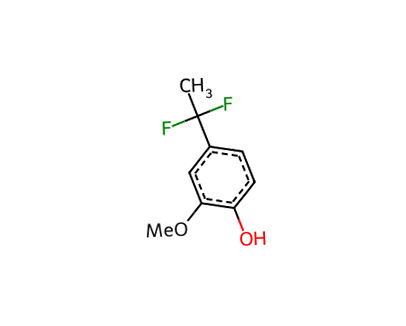 COc1cc(C(C)(F)F)ccc1O